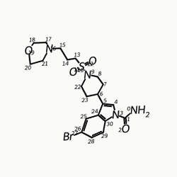 NC(=O)n1cc(C2CCN(S(=O)(=O)CCCN3CCOCC3)CC2)c2cc(Br)ccc21